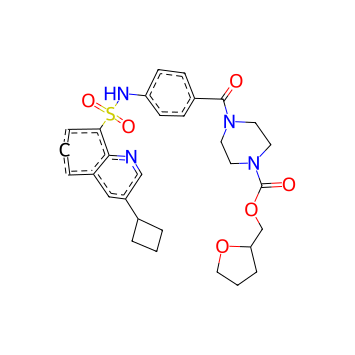 O=C(OCC1CCCO1)N1CCN(C(=O)c2ccc(NS(=O)(=O)c3cccc4cc(C5CCC5)cnc34)cc2)CC1